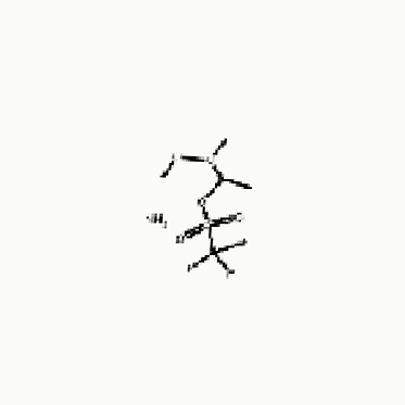 CON(C)C(C)OS(=O)(=O)C(F)(F)F.N